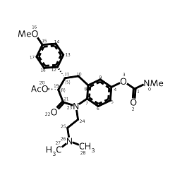 CNC(=O)Oc1ccc2c(c1)C[C@@H](c1ccc(OC)cc1)[C@@H](OC(C)=O)C(=O)N2CCN(C)C